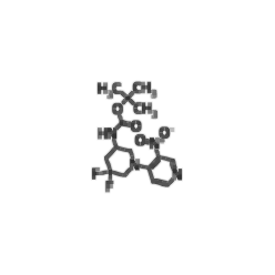 CC(C)(C)OC(=O)NC1CN(c2ccncc2[N+](=O)[O-])CC(F)(F)C1